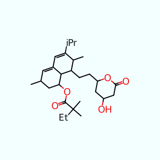 CCC(C)(C)C(=O)OC1CC(C)C=C2C=C(C(C)C)C(C)C(CCC3CC(O)CC(=O)O3)C21